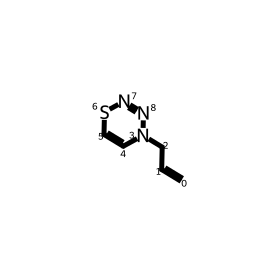 C=CCN1C=CSN=N1